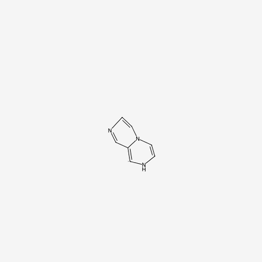 [C]1=C2C=NC=CN2C=CN1